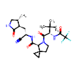 C[C@H]1CNC(=O)[C@@H]1C[C@@H](C#N)NC(=O)[C@H]1N(C(=O)[C@@H](NC(=O)C(F)(F)F)C(C)(C)C)CCC12CC2